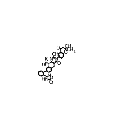 CCCc1nc(C)n(-c2ccc3c(c2)C(=O)CC(C)(C)O3)c(=O)c1Cc1ccc(-c2ccccc2-c2noc(=O)[nH]2)cc1.[K]